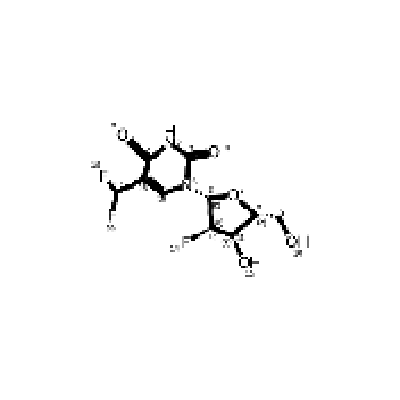 O=c1[nH]c(=O)n([C@@H]2O[C@H](CO)[C@@H](O)[C@H]2F)cc1C(F)F